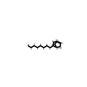 CCCCCCCCC1CC2=CCC1C2